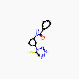 C=C(S)N(/N=N\N)c1cccc(NC(=O)c2ccccc2)c1